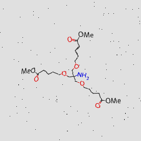 COC(=O)CCCCOCC(N)(COCCCCC(=O)OC)COCCCCC(=O)OC